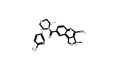 C[C@H]1OCc2c1c(N)nc1ccc(C(=O)N3[C@@H](C)COC[C@H]3c3ccc(C(F)(F)F)nc3)cc21